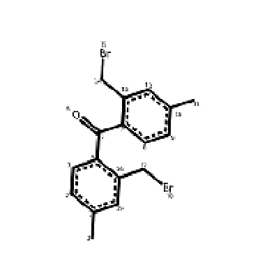 Cc1ccc(C(=O)c2ccc(C)cc2CBr)c(CBr)c1